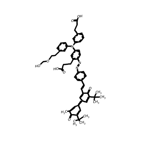 CC1=C/C(=C2C=C(/C=C/c3ccc(/N=N/c4ccc(N(c5cccc(CCOCO)c5)c5cccc(CCC(=O)O)c5)cc4CCC(=O)O)cc3)C(=O)C(C(C)(C)C)=C\2)C=C(C(C)(C)C)C1=O